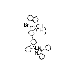 CC1(C)C(c2cccc3ccccc23)=C(Br)c2ccc(-c3ccc4c(c3)c3ccccc3n4-c3nc(-c4ccccc4)c4ccccc4n3)cc21